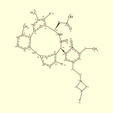 CCc1cc(CCN2CC(F)C2)cn([C@@H]2C(=O)N[C@H](CC(=O)O)c3cc(cc(C)c3F)-c3c(C)cccc3Oc3ccc(F)c2c3)c1=O